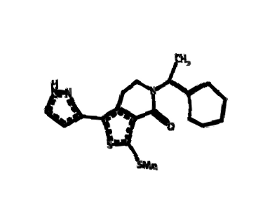 CSc1sc(-c2cc[nH]n2)c2c1C(=O)N(C(C)C1CCCCC1)CC2